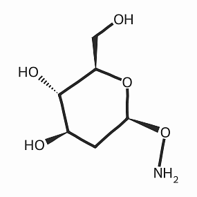 NO[C@H]1C[C@@H](O)[C@H](O)[C@@H](CO)O1